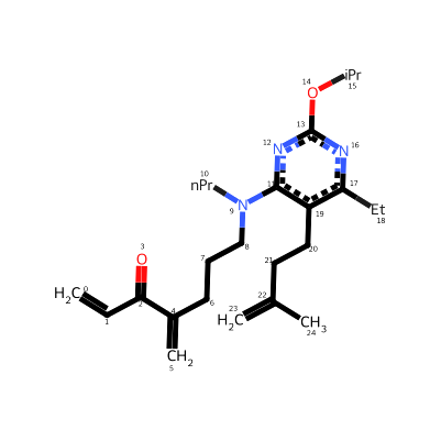 C=CC(=O)C(=C)CCCN(CCC)c1nc(OC(C)C)nc(CC)c1CCC(=C)C